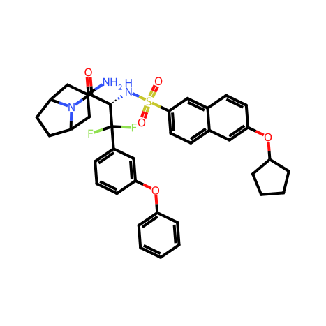 NC1CC2CCC(C1)N2C(=O)[C@H](NS(=O)(=O)c1ccc2cc(OC3CCCC3)ccc2c1)C(F)(F)c1cccc(Oc2ccccc2)c1